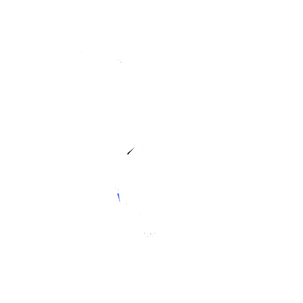 CNC(=O)[C@H](NCC[C@H](c1ccc(C(F)(F)F)cc1)c1ccc2nc(C)oc2c1)c1ccccc1